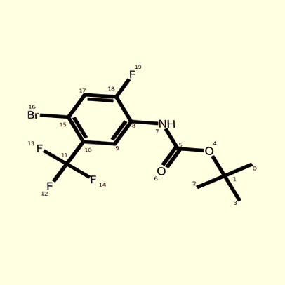 CC(C)(C)OC(=O)Nc1cc(C(F)(F)F)c(Br)cc1F